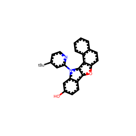 CC(C)(C)c1ccnc(-n2c3cc(O)ccc3c3oc4ccc5ccccc5c4c32)c1